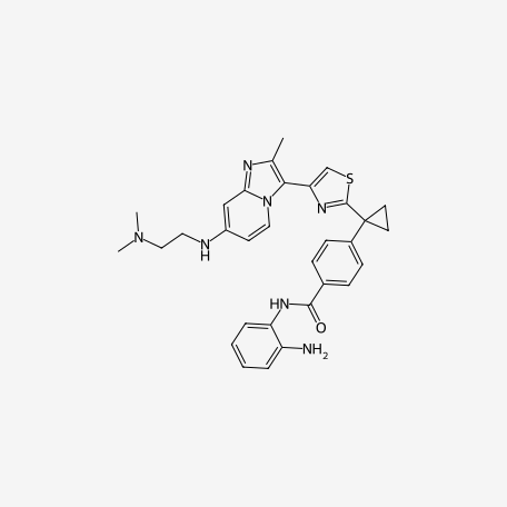 Cc1nc2cc(NCCN(C)C)ccn2c1-c1csc(C2(c3ccc(C(=O)Nc4ccccc4N)cc3)CC2)n1